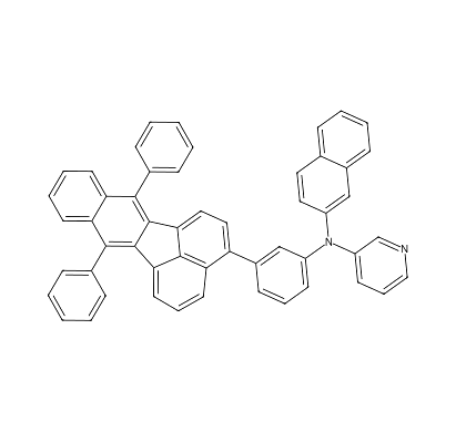 c1ccc(-c2c3c(c(-c4ccccc4)c4ccccc24)-c2ccc(-c4cccc(N(c5cccnc5)c5ccc6ccccc6c5)c4)c4cccc-3c24)cc1